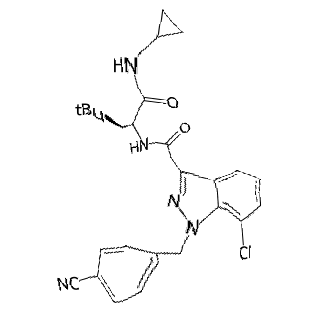 CC(C)(C)[C@H](NC(=O)c1nn(Cc2ccc(C#N)cc2)c2c(Cl)cccc12)C(=O)NC1CC1